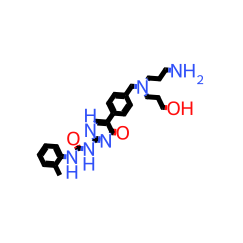 Cc1ccccc1NC(=O)Nc1nc(=O)c(-c2ccc(CN(CCCN)CCCO)cc2)c[nH]1